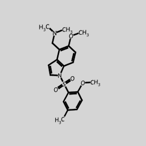 COc1ccc(C)cc1S(=O)(=O)n1ccc2c(CN(C)C)c(OC)ccc21